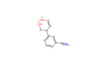 N#Cc1cccc(C(/C=C\O)CO)c1